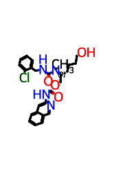 CN(C(=O)NCc1ccccc1Cl)[C@H](CCCCO)COC(=O)Nc1cc2ccccc2cn1